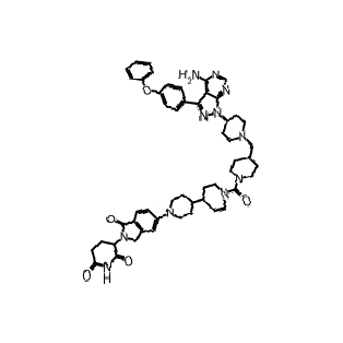 Nc1ncnc2c1c(-c1ccc(Oc3ccccc3)cc1)nn2C1CCN(CC2CCN(C(=O)N3CCC(C4CCN(c5ccc6c(c5)CN(C5CCC(=O)NC5=O)C6=O)CC4)CC3)CC2)CC1